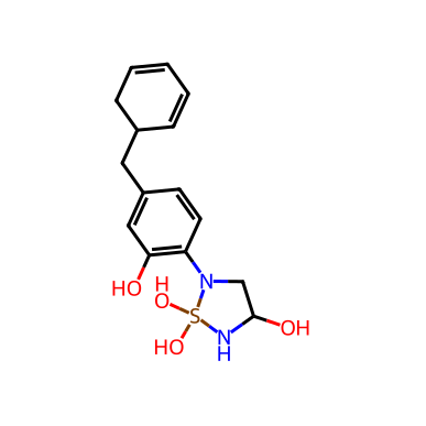 Oc1cc(CC2C=CC=CC2)ccc1N1CC(O)NS1(O)O